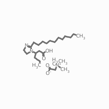 CCCCCCCCCCCCC1=NCCN1C(CCC)CC(=O)O.C[N+](C)(C)CC(=O)[O-]